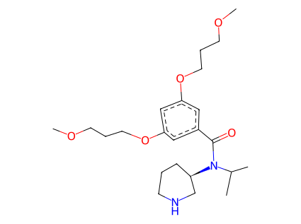 COCCCOc1cc(OCCCOC)cc(C(=O)N(C(C)C)[C@@H]2CCCNC2)c1